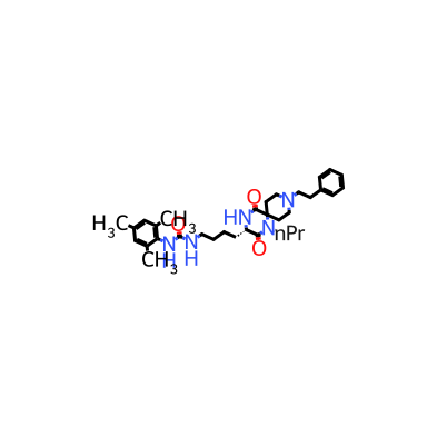 CCCN1C(=O)[C@H](CCCCNC(=O)Nc2c(C)cc(C)cc2C)NC(=O)C12CCN(CCc1ccccc1)CC2